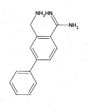 N=C(N)c1ccc(-c2ccccc2)cc1CN